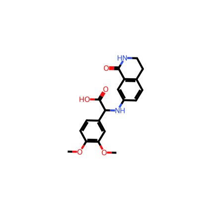 COc1ccc(C(Nc2ccc3c(c2)C(=O)NCC3)C(=O)O)cc1OC